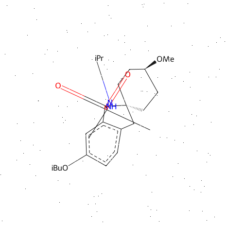 CO[C@H]1CC[C@]2(CC1)Cc1ccc(OCC(C)C)cc1C21NC(=O)N(C(C)C)C1=O